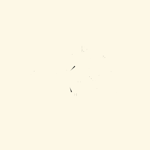 C[C@@]1(OCc2ccccc2)[C@H](O)C(CO)O[C@H]1c1c[nH]c(C#N)c1N